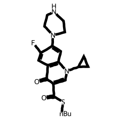 CCCCSC(=O)c1cn(C2CC2)c2cc(N3CCNCC3)c(F)cc2c1=O